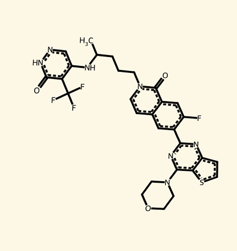 CC(CCCn1ccc2cc(-c3nc(N4CCOCC4)c4sccc4n3)c(F)cc2c1=O)Nc1cn[nH]c(=O)c1C(F)(F)F